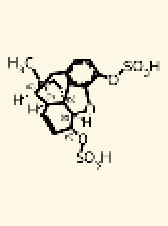 CN1CC[C@]23c4c5ccc(OS(=O)(=O)O)c4O[C@H]2[C@@H](OS(=O)(=O)O)C=C[C@H]3[C@H]1C5